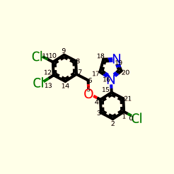 Clc1ccc(OCc2ccc(Cl)c(Cl)c2)c(-n2ccnc2)c1